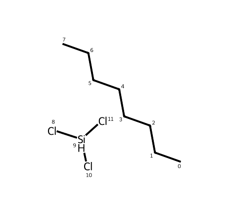 CCCCCCCC.Cl[SiH](Cl)Cl